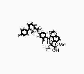 COc1ccc2ncnc(Nc3ccc(NC(=O)c4cccc(-c5ccc(F)cc5)[n+]4[O-])cc3F)c2c1O[C@H](C)CO